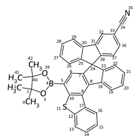 CC1(C)OB(c2cc3c(c4c2sc2ccccc24)-c2ccccc2C32c3ccccc3-c3cc(C#N)ccc32)OC1(C)C